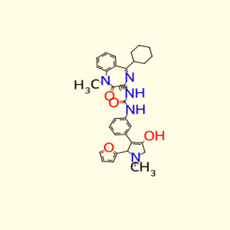 CN1C(=O)[C@H](NC(=O)Nc2cccc(C3=C(O)CN(C)C3c3ccco3)c2)N=C(C2CCCCC2)c2ccccc21